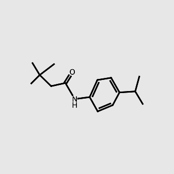 CC(C)c1ccc(NC(=O)CC(C)(C)C)cc1